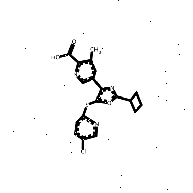 Cc1cc(-c2nc(C3CCC3)oc2Sc2ccc(Cl)cn2)cnc1C(=O)O